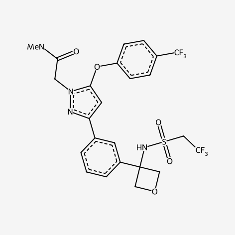 CNC(=O)Cn1nc(-c2cccc(C3(NS(=O)(=O)CC(F)(F)F)COC3)c2)cc1Oc1ccc(C(F)(F)F)cc1